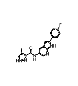 Cc1c[nH]nc1C(=O)Nc1cnc2[nH]c(-c3ccc(F)cc3)cc2c1